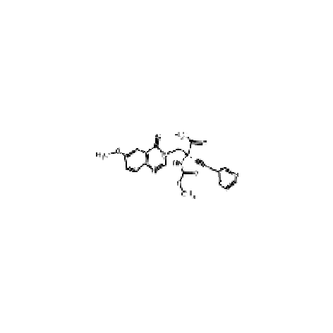 COC(=O)N[C@@](C#Cc1cccnc1)(Cn1cnc2ccc(OC)cc2c1=O)C(C)=O